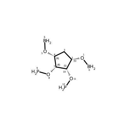 BO[C@H]1C[C@@H](OB)[C@@H](OP)[C@H]1OP